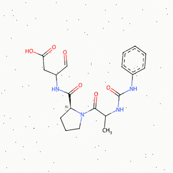 CC(NC(=O)Nc1ccccc1)C(=O)N1CCC[C@H]1C(=O)NC(C=O)CC(=O)O